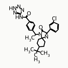 CC(c1ccc(C(=O)Nc2nn[nH]n2)cc1)N1C(=O)C(c2cccc(Cl)c2)=NC12CCC(C(C)(C)C)CC2